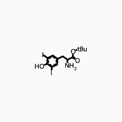 CC(C)(C)OC(=O)C(N)Cc1cc(I)c(O)c(I)c1